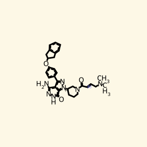 CN(C)C/C=C/C(=O)N1CCC[C@@H](n2nc(-c3ccc(OC4Cc5ccccc5C4)cc3)c3c(N)n[nH]c(=O)c32)C1